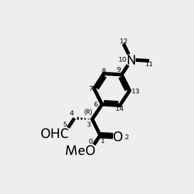 COC(=O)[C@H](CC=O)c1ccc(N(C)C)cc1